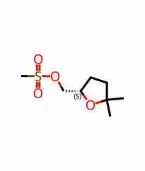 CC1(C)CC[C@@H](COS(C)(=O)=O)O1